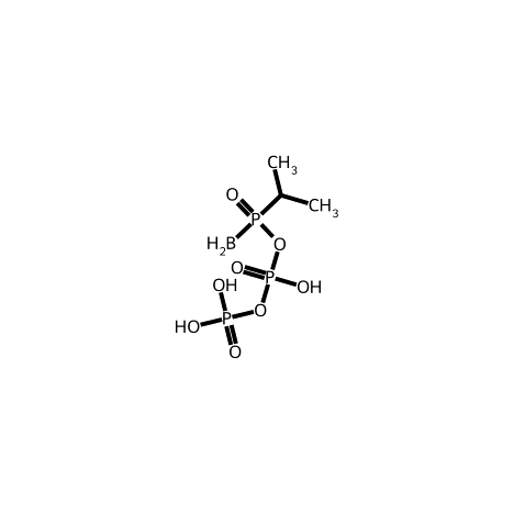 BP(=O)(OP(=O)(O)OP(=O)(O)O)C(C)C